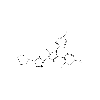 Cc1c(C2=NCC(C3CCCCC3)O2)nc(-c2ccc(Cl)cc2Cl)n1-c1ccc(Cl)cc1